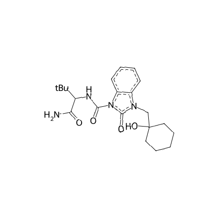 CC(C)(C)C(NC(=O)n1c(=O)n(CC2(O)CCCCC2)c2ccccc21)C(N)=O